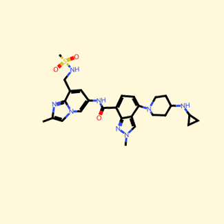 Cc1cn2cc(NC(=O)c3ccc(N4CCC(NC5CC5)CC4)c4cn(C)nc34)cc(CNS(C)(=O)=O)c2n1